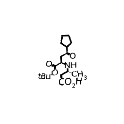 C[C@H](CC(=O)O)NC(CC(=O)C1CCCC1)C(=O)OC(C)(C)C